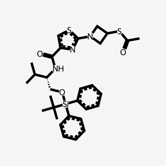 CC(=O)SC1CN(c2nc(C(=O)N[C@H](CO[Si](c3ccccc3)(c3ccccc3)C(C)(C)C)C(C)C)cs2)C1